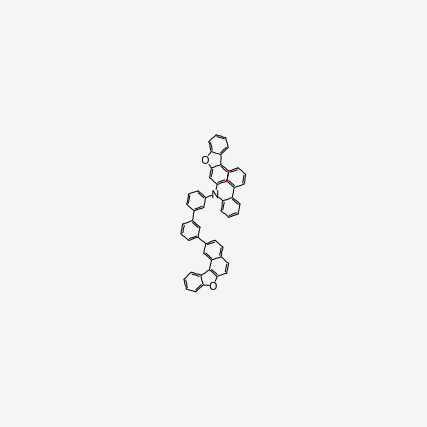 c1ccc(-c2ccccc2N(c2cccc(-c3cccc(-c4ccc5ccc6oc7ccccc7c6c5c4)c3)c2)c2ccc3c(c2)oc2ccccc23)cc1